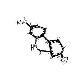 COc1ccc2c(c1)NCc1cc(Cl)ccc1-2